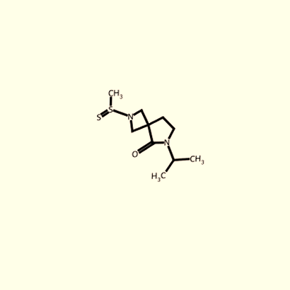 CC(C)N1CCC2(CN(S(C)=S)C2)C1=O